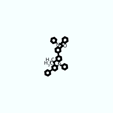 CC1(C)c2cc(-c3ccccc3)ccc2N(c2ccccc2)c2ccc(-c3ccc4c(c3)c3oc5ccccc5c3n4-c3ccccc3)cc21